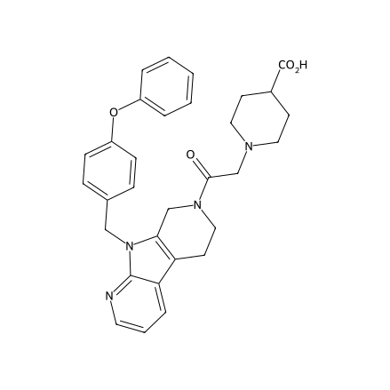 O=C(O)C1CCN(CC(=O)N2CCc3c(n(Cc4ccc(Oc5ccccc5)cc4)c4ncccc34)C2)CC1